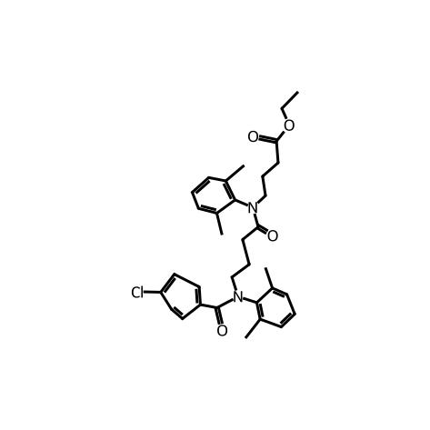 CCOC(=O)CCCN(C(=O)CCCN(C(=O)c1ccc(Cl)cc1)c1c(C)cccc1C)c1c(C)cccc1C